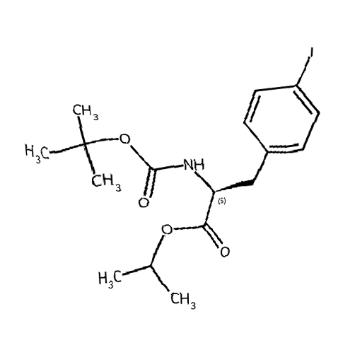 CC(C)OC(=O)[C@H](Cc1ccc(I)cc1)NC(=O)OC(C)(C)C